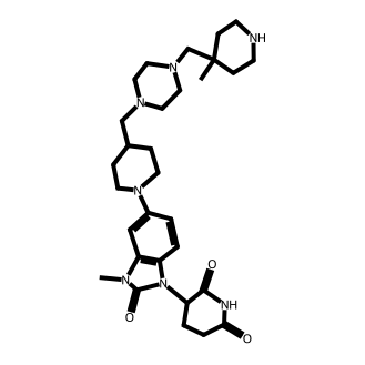 Cn1c(=O)n(C2CCC(=O)NC2=O)c2ccc(N3CCC(CN4CCN(CC5(C)CCNCC5)CC4)CC3)cc21